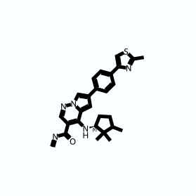 C=NC(=O)c1cnn2cc(-c3ccc(-c4csc(C)n4)cc3)cc2c1N[C@@H]1CCC(C)C1(C)C